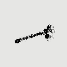 Cc1cc(-c2ccc(OCCCCCOCCOCCOCCOCCOCc3ccccc3)c(-c3ccc(Cl)c(C)c3)c2C)n(C)n1